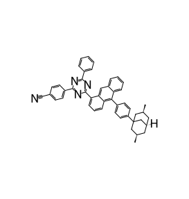 C[C@@H]1C[C@@H]2C[C@H](C)CC(c3ccc(-c4c5ccccc5cc5c(-c6nc(-c7ccccc7)nc(-c7ccc(C#N)cc7)n6)cccc45)cc3)(C1)C2